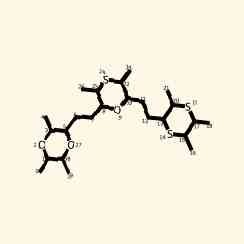 CC1OC(C)C(CCC2OC(CCC3SC(C)C(C)SC3C)C(C)SC2C)OC1C